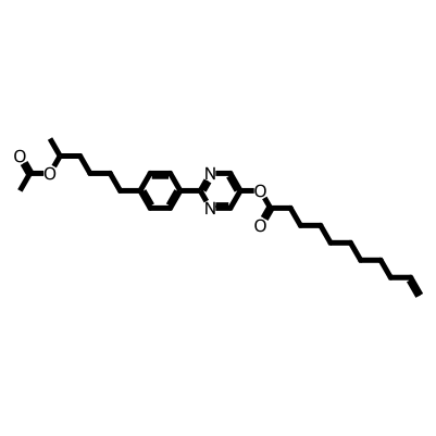 C=CCCCCCCCCC(=O)Oc1cnc(-c2ccc(CCCCC(C)OC(C)=O)cc2)nc1